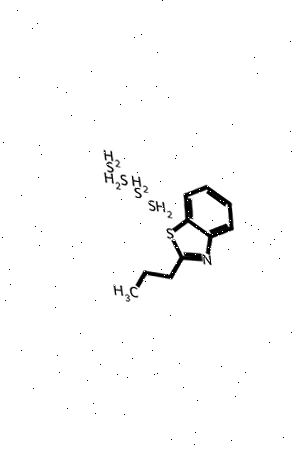 CCCc1nc2ccccc2s1.S.S.S.S